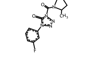 CC1CCCN1C(=O)n1nnn(-c2cccc(F)c2)c1=O